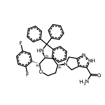 NC(=O)c1[nH]nc2c1CN([C@H]1CCO[C@H](c3cc(F)ccc3F)[C@@H](NC(c3ccccc3)(c3ccccc3)c3ccccc3)C1)C2